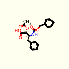 CC(=O)O[C@@H](C(=O)O)[C@H](Cc1ccccc1)NC(=O)OCc1ccccc1